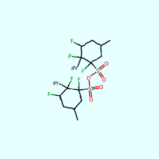 CC1CC(F)C(F)(C(C)C)C(F)(S(=O)(=O)OS(=O)(=O)C2(F)CC(C)CC(F)C2(F)C(C)C)C1